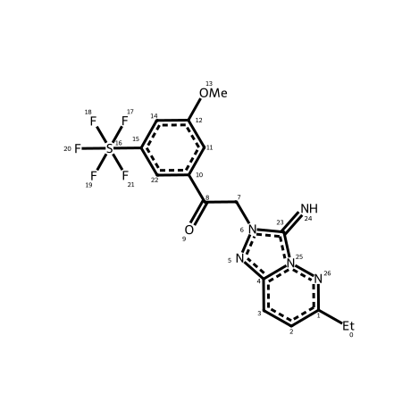 CCc1ccc2nn(CC(=O)c3cc(OC)cc(S(F)(F)(F)(F)F)c3)c(=N)n2n1